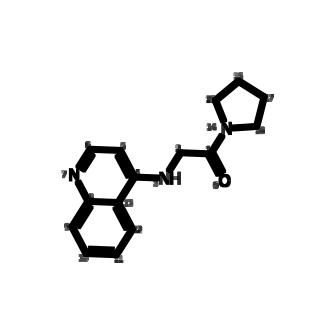 O=C(CNc1ccnc2ccccc12)N1CCCC1